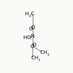 CCCCCCCCCCCOC(=O)CCCCCN(CCO)CCCCCCC(=O)OC(CCCCCCCC)CCCCCCCC